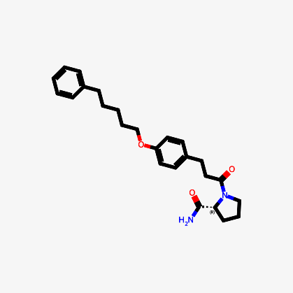 NC(=O)[C@H]1CCCN1C(=O)CCc1ccc(OCCCCCc2ccccc2)cc1